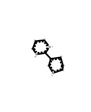 [c]1cncc(-c2ncccn2)c1